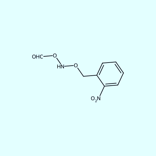 O=CONOCc1ccccc1[N+](=O)[O-]